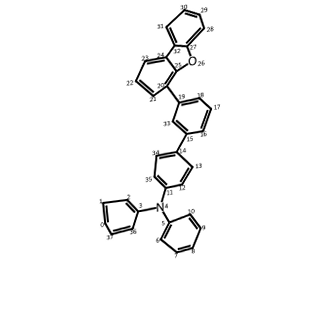 c1ccc(N(c2ccccc2)c2ccc(-c3cccc(-c4cccc5c4oc4ccccc45)c3)cc2)cc1